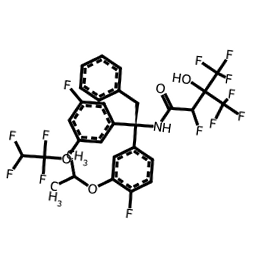 CC(C)Oc1cc([C@@](Cc2ccccc2)(NC(=O)C(F)C(O)(C(F)(F)F)C(F)(F)F)c2cc(F)cc(OC(F)(F)C(F)F)c2)ccc1F